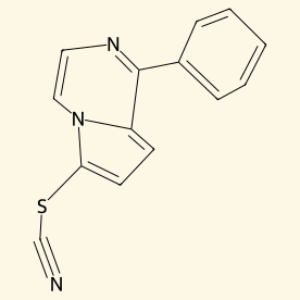 N#CSc1ccc2c(-c3ccccc3)nccn12